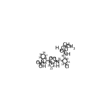 CC(C)(C)OC(=O)NCc1ccc(Cl)cc1CNC(=O)C1CCCN1C(=O)C1CN(C(=O)O)c2ccccc21